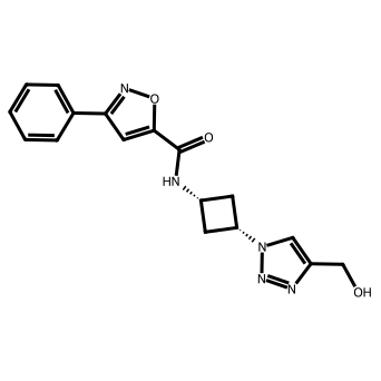 O=C(N[C@H]1C[C@@H](n2cc(CO)nn2)C1)c1cc(-c2ccccc2)no1